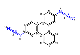 [N-]=[N+]=Nc1ccc(-c2ccc(N=[N+]=[N-])cc2-c2ccccc2)cc1